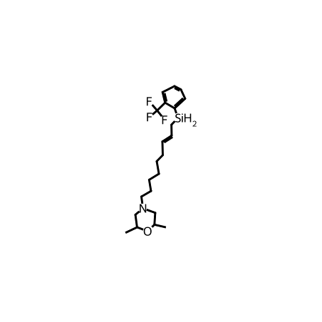 CC1CN(CCCCCCC=CC[SiH2]c2ccccc2C(F)(F)F)CC(C)O1